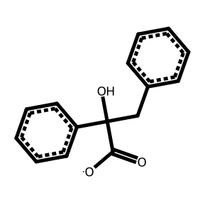 [O]C(=O)C(O)(Cc1ccccc1)c1ccccc1